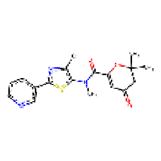 Cc1nc(-c2cccnc2)sc1N(C)C(=O)C1=CC(=O)CC(C)(C)O1